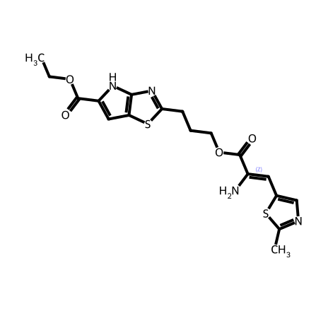 CCOC(=O)c1cc2sc(CCCOC(=O)/C(N)=C/c3cnc(C)s3)nc2[nH]1